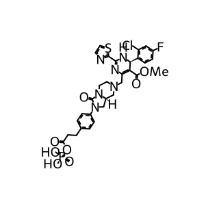 COC(=O)C1=C(CN2CCN3C(=O)N(c4ccc(CCC(=O)OP(=O)(O)O)cc4)C[C@@H]3C2)N=C(c2nccs2)N[C@H]1c1ccc(F)cc1Cl